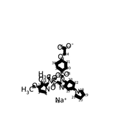 COc1ccnc(N(C)S(=O)(=O)c2nc3cc(-n4cccc4)ccc3n2S(=O)(=O)c2ccc(OCC(=O)[O-])cc2)c1C.[Na+]